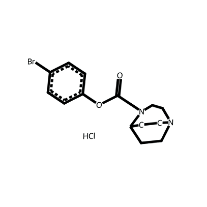 Cl.O=C(Oc1ccc(Br)cc1)N1CCN2CCC1CC2